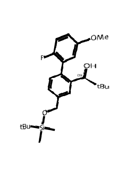 COc1ccc(F)c(-c2ccc(CO[Si](C)(C)C(C)(C)C)cc2[C@@H](O)C(C)(C)C)c1